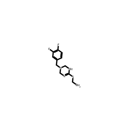 BCSC1=NCN(Cc2ccc(F)c(F)c2)CN1